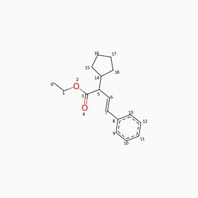 CCOC(=O)C(C=Cc1ccccc1)C1CCCC1